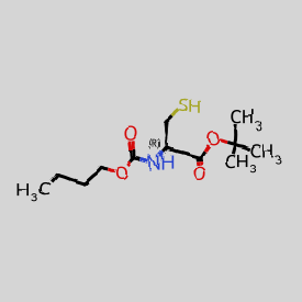 CCCCOC(=O)N[C@@H](CS)C(=O)OC(C)(C)C